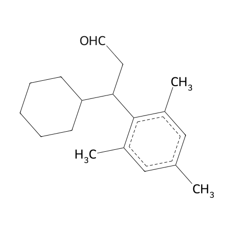 Cc1cc(C)c(C(CC=O)C2CCCCC2)c(C)c1